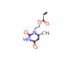 C=CC(=O)OCCn1c(C#N)cc(=O)[nH]c1=O